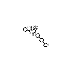 CC(CNC(=O)c1ccccc1O)(CC(O)N1CC=C(c2ccc(-c3cccnc3)cc2)CC1)S(C)(=O)=O